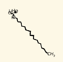 CCCCCCCCCCCCCCCCCO[SH](=O)=O.[LiH]